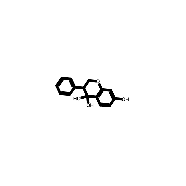 Oc1ccc2c(c1)OCC(c1ccccc1)C2(O)O